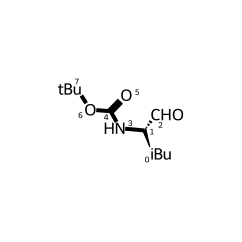 CC[C@H](C)[C@@H](C=O)NC(=O)OC(C)(C)C